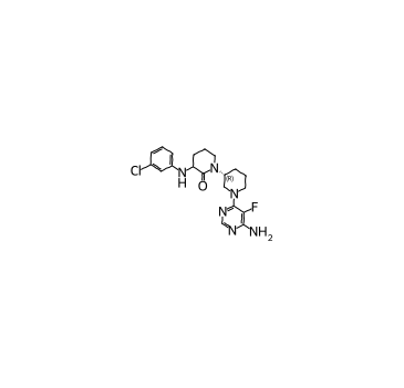 Nc1ncnc(N2CCC[C@@H](N3CCCC(Nc4cccc(Cl)c4)C3=O)C2)c1F